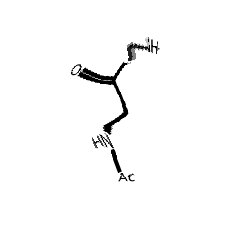 CC(=O)NCC([NH])=O